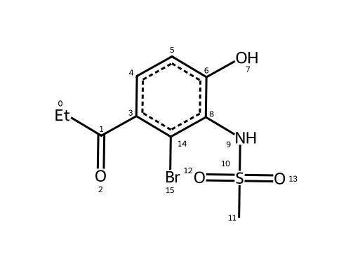 CCC(=O)c1ccc(O)c(NS(C)(=O)=O)c1Br